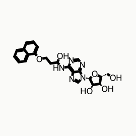 OC[C@H]1O[C@@H](n2cnc3c(NC(O)CCOc4cccc5ccccc45)ncnc32)[C@H](O)[C@@H]1O